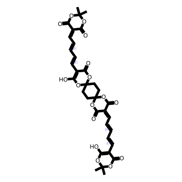 CC1(C)OC(=O)C(=C/C=C/C=C/C2=C(O)OC3(CCC4(CC3)OC(=O)C(=C/C=C/C=C/C3=C(O)OC(C)(C)OC3=O)C(=O)O4)OC2=O)C(=O)O1